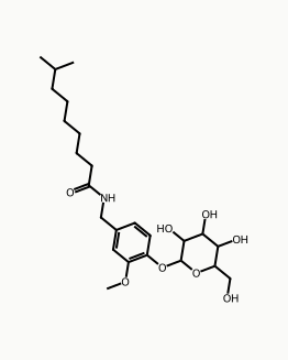 COc1cc(CNC(=O)CCCCCCC(C)C)ccc1OC1OC(CO)C(O)C(O)C1O